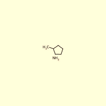 CC1CCCC1.N